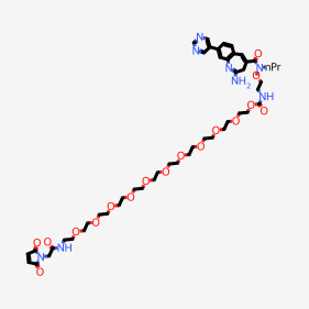 CCCN(OCCNC(=O)OCCOCCOCCOCCOCCOCCOCCOCCOCCOCCOCCNC(=O)CN1C(=O)C=CC1=O)C(=O)C1=Cc2ccc(-c3cncnc3)cc2N=C(N)C1